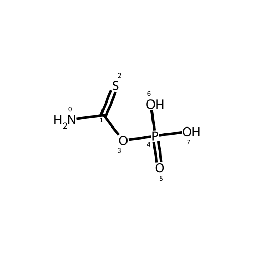 NC(=S)OP(=O)(O)O